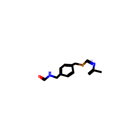 C=C(C)/N=C\SCc1ccc(CNC=O)cc1